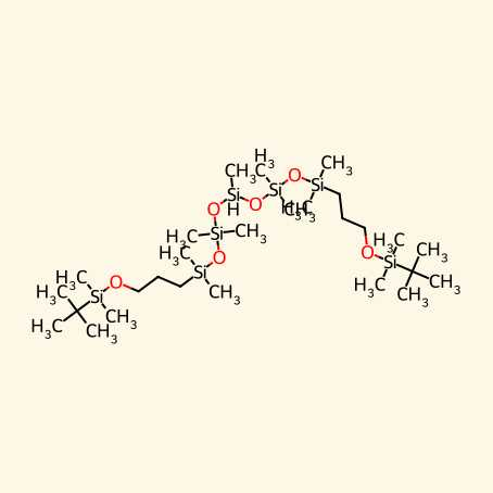 C[SiH](O[Si](C)(C)O[Si](C)(C)CCCO[Si](C)(C)C(C)(C)C)O[Si](C)(C)O[Si](C)(C)CCCO[Si](C)(C)C(C)(C)C